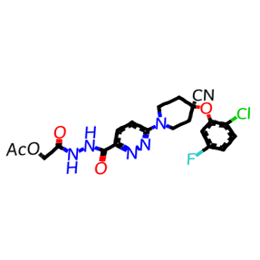 CC(=O)OCC(=O)NNC(=O)c1ccc(N2CCC(C#N)(Oc3cc(F)ccc3Cl)CC2)nn1